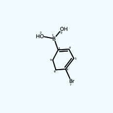 OB(O)C1=CC=C(Br)CC1